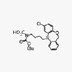 CC(C)(C)OC(=O)N(CCCCN1c2ccccc2COc2ccc(Cl)cc21)C(=O)O